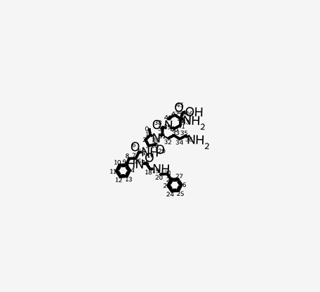 CC1C[C@@H](NC(=O)C(Cc2ccccc2)NC(=O)CNCCc2ccccc2)C(=O)N1[C@H](CCCCN)C(=O)N1CCC(N)(C(=O)O)CC1